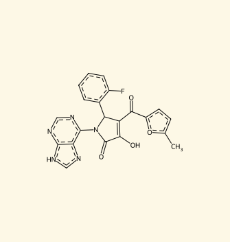 Cc1ccc(C(=O)C2=C(O)C(=O)N(c3ncnc4[nH]cnc34)C2c2ccccc2F)o1